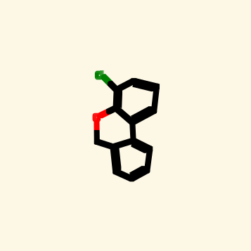 Clc1cccc2c1OCc1ccccc1-2